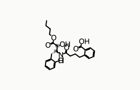 CCCCOC(=O)[C@H](O)[C@@H](Cc1ccccc1Cl)NC(=O)CCCc1ccccc1C(=O)O